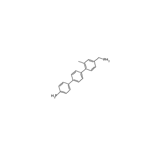 Cc1cc(CP)ccc1-c1ccc(-c2ccc(P)cc2)cc1